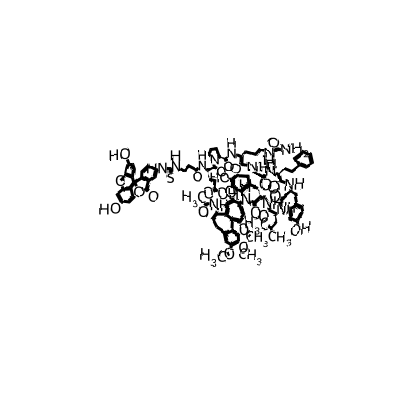 COc1cc2c(c(OC)c1OC)-c1ccc(NC(=O)[C@H](Cc3ccc(O)cc3)NC(=O)[C@H](CC(C)C)NC(=O)[C@H](Cc3ccc(O)cc3)NC(=O)[C@H](CCc3ccccc3)NC(=O)CNC(=O)[C@H](CCCNC(N)=O)NC(=O)[C@@H]3CCCN3C(=O)[C@H](CCC(=O)O)NC(=O)CCNC(=S)Nc3ccc4c(c3)C(=O)OC43c4ccc(O)cc4Oc4cc(O)ccc43)c(=O)cc1[C@@H](NC(C)=O)CC2